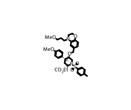 CCOC(=O)[C@@H]1C[C@H](c2ccc(OC)cc2)[C@@H](OCc2ccc3c(c2)N(CCCOC)CCO3)CN1S(=O)(=O)c1ccc(C)cc1